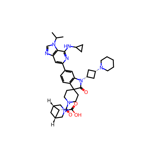 CC(C)n1cnc2cc(-c3ccc4c(c3)N([C@H]3C[C@@H](N5CCCCC5)C3)C(=O)C43CCN(C(=O)[C@H]4[C@@H]5C[C@H]4CN(C(=O)O)C5)CC3)nc(NC3CC3)c21